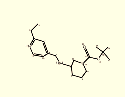 CCc1cc(CNC2CCCN(C(=O)OC(C)(C)C)C2)ccn1